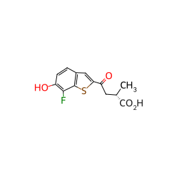 C[C@@H](CC(=O)c1cc2ccc(O)c(F)c2s1)C(=O)O